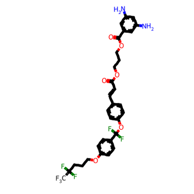 Nc1cc(N)cc(C(=O)OCCCOC(=O)C=Cc2ccc(OC(F)(F)c3ccc(OCCCC(F)(F)C(F)(F)F)cc3)cc2)c1